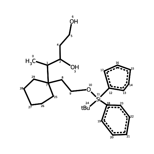 CC(C(O)CCO)C1(CCO[Si](c2ccccc2)(c2ccccc2)C(C)(C)C)CCCCC1